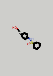 [O-][S+](Nc1ccc(CCO)cc1)c1ccccc1